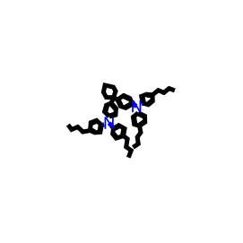 CCCCc1ccc(N(c2ccc(CCCC)cc2)c2ccc(C3(c4ccc(N(c5ccc(CCCC)cc5)c5ccc(CCCC)cc5)cc4)CCCCC3)cc2)cc1